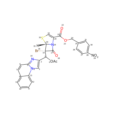 CC(=O)OC(c1cn2c(ccc3ccccc32)n1)[C@]1(Br)C(=O)N2C(C(=O)OCc3ccc([N+](=O)[O-])cc3)=CS[C@H]21